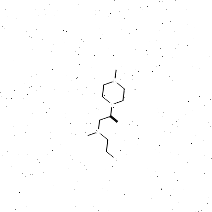 CC(=O)CCN(C)CC(=O)N1CCN(C)CC1